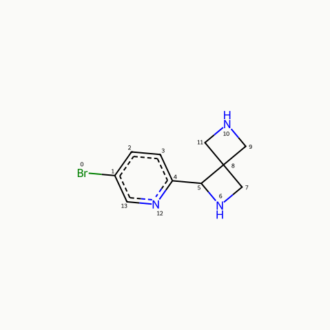 Brc1ccc(C2NCC23CNC3)nc1